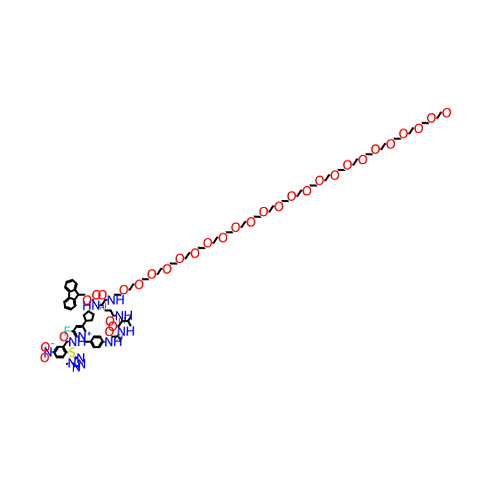 COCCOCCOCCOCCOCCOCCOCCOCCOCCOCCOCCOCCOCCOCCOCCOCCOCCOCCOCCOCCOCCOCCOCCOCCNC(=O)[C@H](CCC(=O)N[C@H](C(=O)N[C@@H](C)C(=O)Nc1ccc(C[n+]2cc(C3CCCC3)cc(F)c2NC(=O)c2cc([N+](=O)[O-])ccc2Sc2nnnn2C)cc1)C(C)C)NC(=O)OCC1c2ccccc2-c2ccccc21